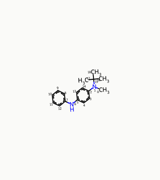 CN(c1ccc(Nc2ccccc2)cc1)C(C)(C)C